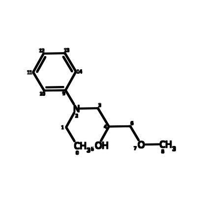 CCN(CC(O)COC)c1ccccc1